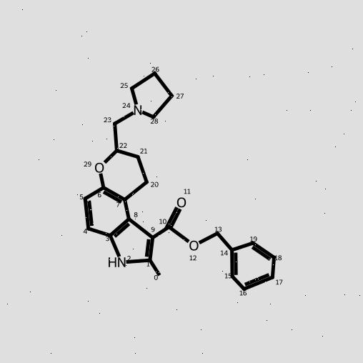 Cc1[nH]c2ccc3c(c2c1C(=O)OCc1ccccc1)CCC(CN1CCCC1)O3